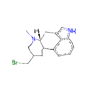 CN1CC(CBr)CC2c3cccc4[nH]cc(c34)C[C@H]21